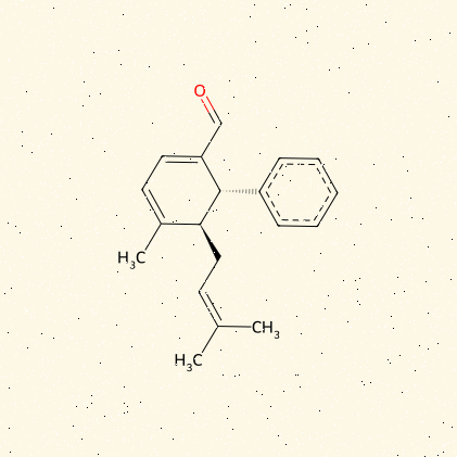 CC(C)=CC[C@H]1C(C)=CC=C(C=O)[C@@H]1c1ccccc1